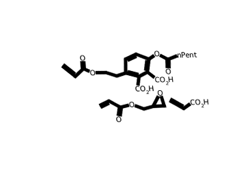 C=CC(=O)O.C=CC(=O)OCC1CO1.C=CC(=O)OCCc1ccc(OC(=O)CCCCC)c(C(=O)O)c1C(=O)O